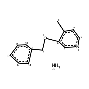 Cc1ccncc1OCc1ccccc1.N